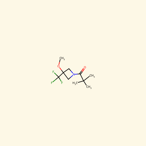 COC1(C(F)(F)F)CN(C(=O)C(C)(C)C)C1